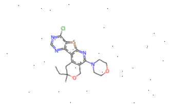 CCC1(C)Cc2c(c(N3CCOCC3)nc3sc4c(Cl)ncnc4c23)CO1